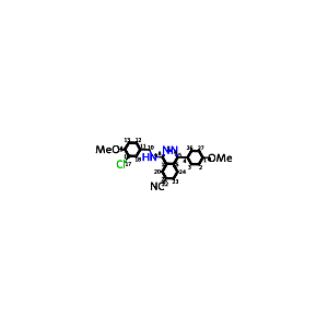 COc1ccc(-c2nnc(NCc3ccc(OC)c(Cl)c3)c3cc(C#N)ccc23)cc1